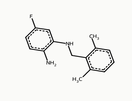 Cc1cccc(C)c1CNc1cc(F)ccc1N